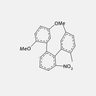 COc1ccc(OC)c(-c2[c]ccc([N+](=O)[O-])c2-c2cc(C)ccc2C)c1